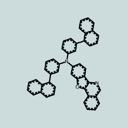 c1cc(-c2cccc3ccccc23)cc(N(c2cccc(-c3cccc4ccccc34)c2)c2ccc3c(c2)oc2c4ccccc4cnc32)c1